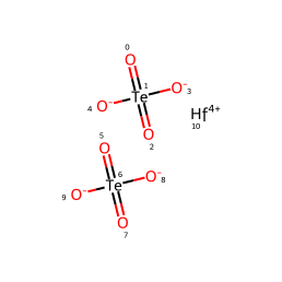 O=[Te](=O)([O-])[O-].O=[Te](=O)([O-])[O-].[Hf+4]